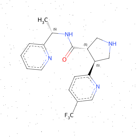 C[C@H](NC(=O)[C@@H]1CNC[C@H]1c1ccc(C(F)(F)F)cn1)c1ccccn1